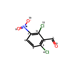 O=[C]c1c(Cl)ccc([N+](=O)[O-])c1Cl